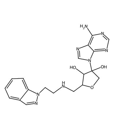 Nc1ncnc2c1ncn2C1(O)COC(CNCCn2ncc3ccccc32)C1O